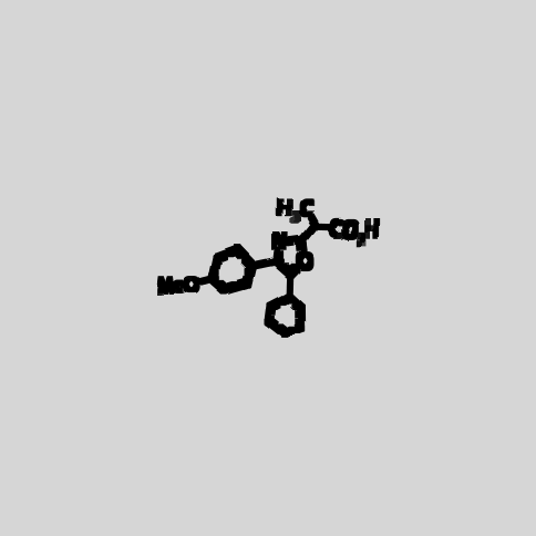 COc1ccc(-c2nc(C(C)C(=O)O)oc2-c2ccccc2)cc1